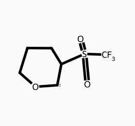 O=S(=O)(C1[C]OCCC1)C(F)(F)F